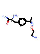 C/C(=N/OCCN)c1ccc(C[C@H](N)C(N)=O)cc1